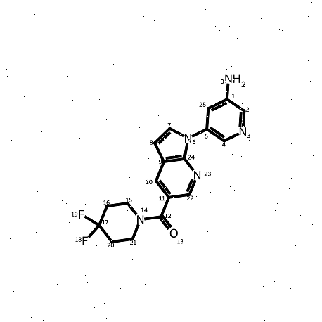 Nc1cncc(-n2ccc3cc(C(=O)N4CCC(F)(F)CC4)cnc32)c1